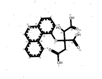 O=C(O)CC(Oc1cccc2ncc3ccccc3c12)(C(=O)O)C(O)C(=O)O